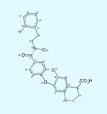 O=C(O)C1CCOc2cc(Oc3ccc(C(=O)N(Cl)CCc4ccccc4F)cc3)c(Cl)cc21